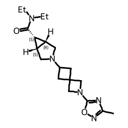 CCN(CC)C(=O)[C@@H]1[C@@H]2CN(C3CC4(C3)CN(c3nc(C)no3)C4)C[C@@H]21